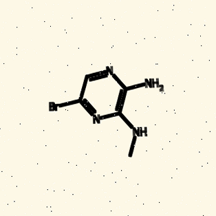 CNc1nc(Br)cnc1N